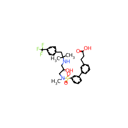 CN(C[C@H](O)CNC(C)(C)Cc1ccc(C(F)(F)F)cc1)S(=O)(=O)c1cccc(-c2cccc(CCC(=O)O)c2)c1